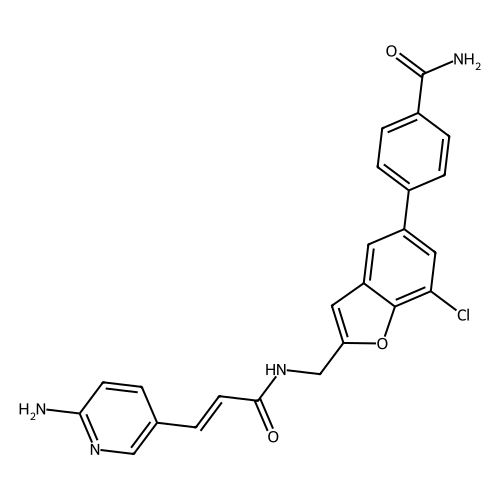 NC(=O)c1ccc(-c2cc(Cl)c3oc(CNC(=O)C=Cc4ccc(N)nc4)cc3c2)cc1